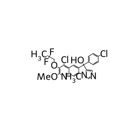 COc1nc2ccc(C(O)(c3ccc(Cl)cc3)c3cncn3C)cc2c(Cl)c1OCC(C)(F)F